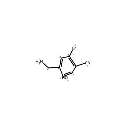 Cl.N#Cc1ccc(CN)cc1Br